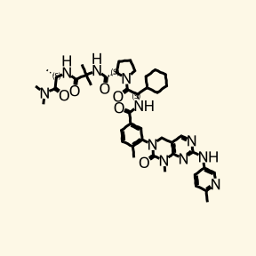 Cc1ccc(Nc2ncc3c(n2)N(C)C(=O)N(c2cc(C(=O)N[C@H](C(=O)N4CCC[C@H]4C(=O)NC(C)(C)C(=O)N[C@@H](C)C(=O)N(C)C)C4CCCCC4)ccc2C)C3)cn1